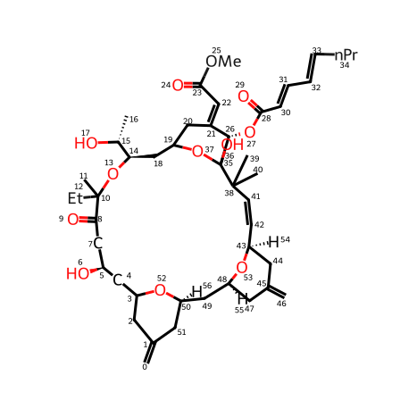 C=C1CC2C[C@@H](O)CC(=O)C(C)(CC)O[C@@H]([C@@H](C)O)CC3C/C(=C\C(=O)OC)[C@H](OC(=O)/C=C/C=C/CCC)C(O)(O3)C(C)(C)/C=C/[C@H]3CC(=C)C[C@@H](C[C@@H](C1)O2)O3